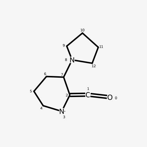 O=C=C1[N]CCCC1N1CCCC1